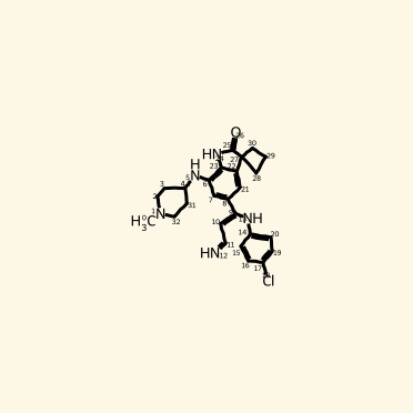 CN1CCC(Nc2cc(/C(=C/C=N)Nc3ccc(Cl)cc3)cc3c2NC(=O)C32CCC2)CC1